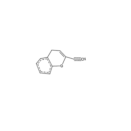 C#CC1=CCc2ccccc2O1